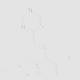 Cc1cccc(O[Si](C)(C)C)c1N=Cc1ncncn1